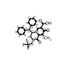 Cc1c2n(cc(C(=O)O)c1=O)C(C(c1ccccc1)c1ccccc1)CN(CC(F)(F)F)C2=O